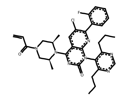 C=CC(=O)N1C[C@@H](C)N(c2nc(=O)n(-c3c(CCC)ncnc3CCC)c3nc(-c4ccccc4F)c(Cl)cc23)[C@@H](C)C1